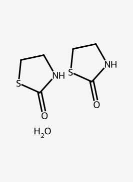 O.O=C1NCCS1.O=C1NCCS1